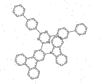 c1ccc(-c2ccc(-c3nc(-c4ccc(-c5ccccc5)cc4)nc(-c4cc5c6ccccc6c6ccccc6c5cc4-n4c5ccccc5c5ccccc54)n3)cc2)cc1